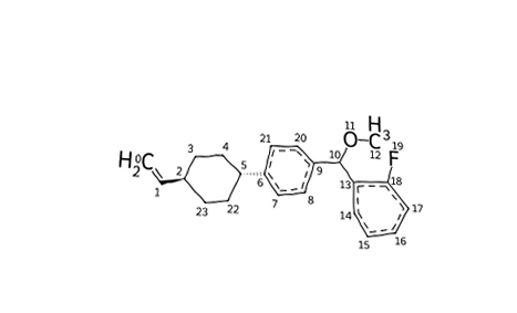 C=C[C@H]1CC[C@H](c2ccc(C(OC)c3ccccc3F)cc2)CC1